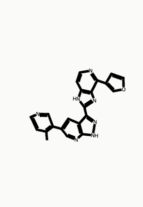 Cc1ccncc1-c1cnc2[nH]nc(-c3nc4c(-c5ccoc5)nccc4[nH]3)c2c1